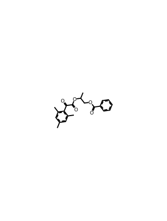 Cc1cc(C)c(C(=O)C(=O)OC(C)COC(=O)c2ccccc2)c(C)c1